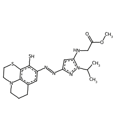 COC(=O)CNc1cc(N=Nc2cc3c4c(c2S)SCCN4CCC3)nn1C(C)C